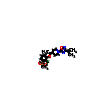 CC(C)c1noc(N2CCC([C@H](C)Oc3cc[c]c(S(C)(=O)=O)c3F)CC2)n1